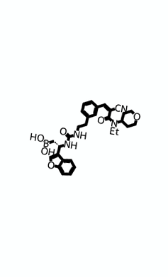 CCN(C(=O)C(C#N)=Cc1cccc(CCNC(=O)N[C@@H](CB(O)O)c2coc3ccccc23)c1)C1CCOCC1